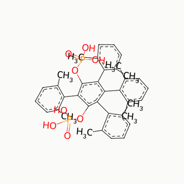 Cc1cccc(C)c1-c1c(OP(=O)(O)O)c(-c2c(C)cccc2C)c(-c2c(C)cccc2C)c(-c2c(C)cccc2C)c1OP(=O)(O)O